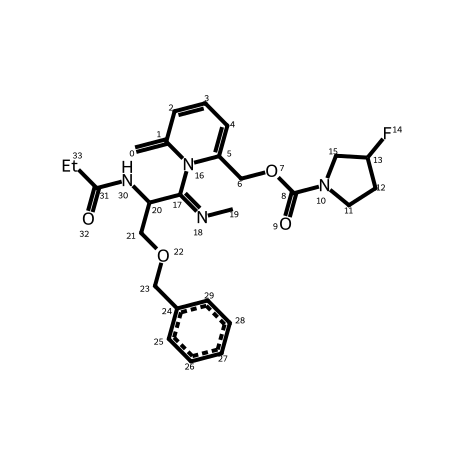 C=C1C=CC=C(COC(=O)N2CCC(F)C2)N1/C(=N\C)C(COCc1ccccc1)NC(=O)CC